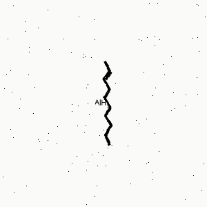 [AlH3].[CH2]CCCCCCC=CC